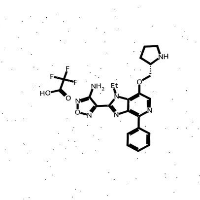 CCn1c(-c2nonc2N)nc2c(-c3ccccc3)ncc(OC[C@@H]3CCCN3)c21.O=C(O)C(F)(F)F